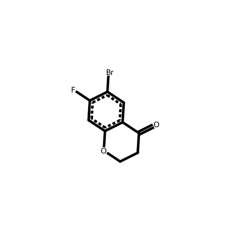 O=C1CCOc2cc(F)c(Br)cc21